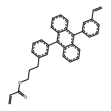 C=CC(=O)OCCCc1cccc(-c2c3ccccc3c(-c3cccc(C=C)c3)c3ccccc23)c1